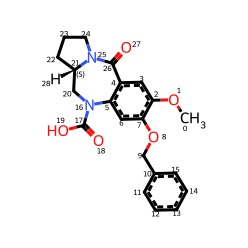 COc1cc2c(cc1OCc1ccccc1)N(C(=O)O)C[C@@H]1CCCN1C2=O